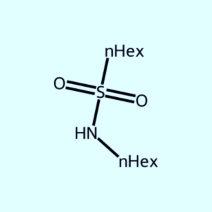 [CH2]CCCCCNS(=O)(=O)CCCCCC